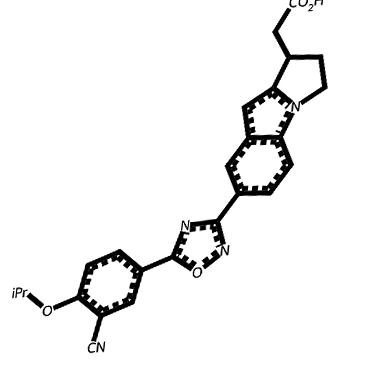 CC(C)Oc1ccc(-c2nc(-c3ccc4c(c3)cc3n4CCC3CC(=O)O)no2)cc1C#N